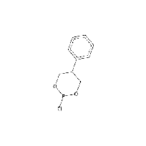 ClP1OCC(c2ccccc2)CO1